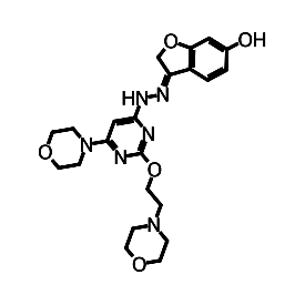 Oc1ccc2c(c1)OCC2=NNc1cc(N2CCOCC2)nc(OCCN2CCOCC2)n1